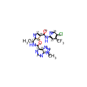 C[C@@H](NC(=O)c1ncnc2c1nnn2C)c1ncc(C(=O)Nc2cc(C(F)(F)F)c(Cl)cn2)s1